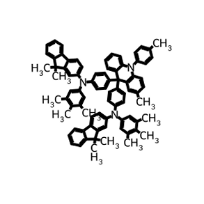 Cc1ccc(N2c3ccccc3C(c3ccc(N(c4cc(C)c(C)c(C)c4)c4ccc5c(c4)C(C)(C)c4ccccc4-5)cc3)(c3ccc(N(c4cc(C)c(C)c(C)c4)c4ccc5c(c4)C(C)(C)c4ccccc4-5)cc3)c3cc(C)ccc32)cc1